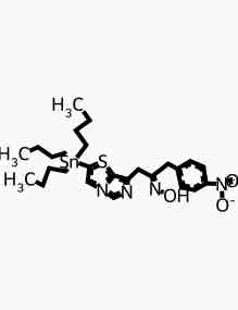 CCC[CH2][Sn]([CH2]CCC)([CH2]CCC)[c]1cn2cnc(CC(Cc3ccc([N+](=O)[O-])cc3)=NO)c2s1